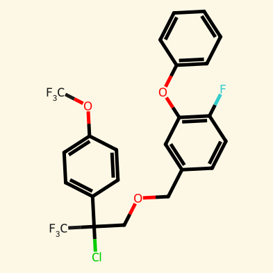 Fc1ccc(COCC(Cl)(c2ccc(OC(F)(F)F)cc2)C(F)(F)F)cc1Oc1ccccc1